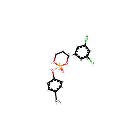 O=[N+]([O-])c1ccc(O[P@]2(=O)OCC[C@H](c3cc(Cl)cc(Cl)c3)O2)cc1